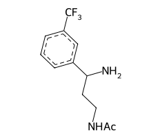 CC(=O)NCCC(N)c1cccc(C(F)(F)F)c1